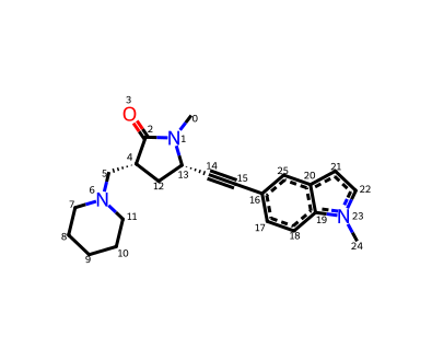 CN1C(=O)[C@@H](CN2CCCCC2)C[C@H]1C#Cc1ccc2c(ccn2C)c1